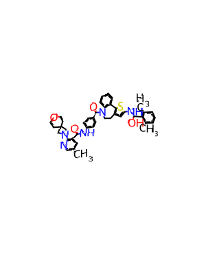 Cc1cnc(N2CC3(CCOCC3)C2)c(C(=O)Nc2ccc(C(=O)N3CCc4cc(NC(O)c5c(C)cccc5C)sc4-c4ccccc43)cc2)c1